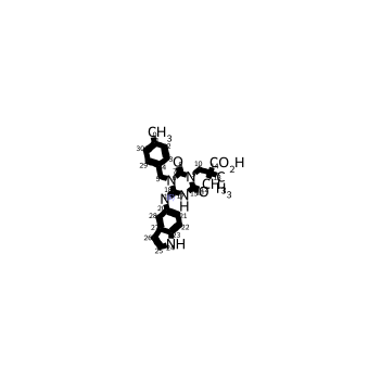 Cc1ccc(Cn2c(=O)n(CC(C)(C)C(=O)O)c(=O)[nH]/c2=N\c2ccc3[nH]ccc3c2)cc1